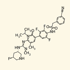 C=N/C(=N\c1c(C)cc(-c2cc(F)c(NS(=O)(=O)Cc3cccc(C#N)c3)c(F)c2F)c(=O)n1C(C)C)N[C@@H]1CNC[C@@H](F)C1